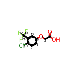 O=C(O)COc1ccc(Cl)c(C(F)(F)F)c1